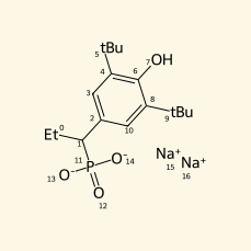 CCC(c1cc(C(C)(C)C)c(O)c(C(C)(C)C)c1)P(=O)([O-])[O-].[Na+].[Na+]